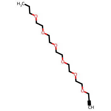 C#CCOCCOCCOCCOCCOCCOCCC